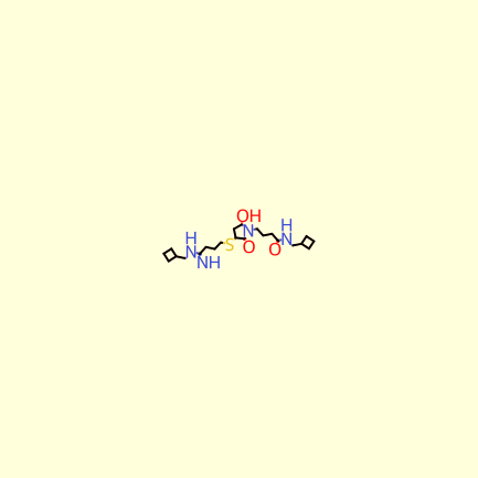 N=C(CCCSC1CC(O)N(CCCC(=O)NCC2CCC2)C1=O)NCC1CCC1